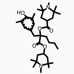 CCCCC(Cc1cc(C)c(O)c(C)c1)(OC(=O)C1CC(C)(C)N(C)C(C)(C)C1)C(=O)OC1CC(C)(C)N(C)C(C)(C)C1